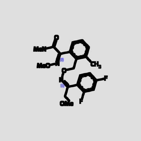 CNC(=O)/C(=N\OC)c1cccc(C)c1CO/N=C(/COC)c1ccc(F)cc1F